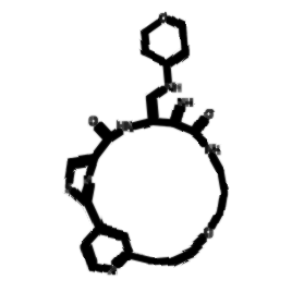 N=C1C(=O)NCCCOCCCc2cc(ccn2)-c2nc(cs2)C(=O)N/C1=C/NC1CCOCC1